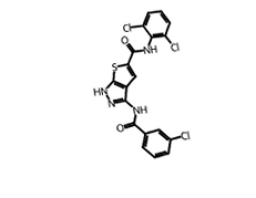 O=C(Nc1n[nH]c2sc(C(=O)Nc3c(Cl)cccc3Cl)cc12)c1cccc(Cl)c1